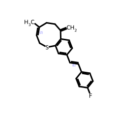 C=C1CC/C(C)=C\CSc2cc(/C=C/c3ccc(F)cc3)ccc21